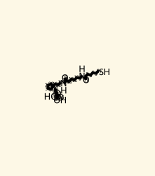 O=C(CCCCCS)NCCCCCC(=O)NCCC[N+]1(CCOP(=O)(O)O)CCCC1